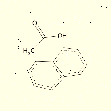 CC(=O)O.c1ccc2ccccc2c1